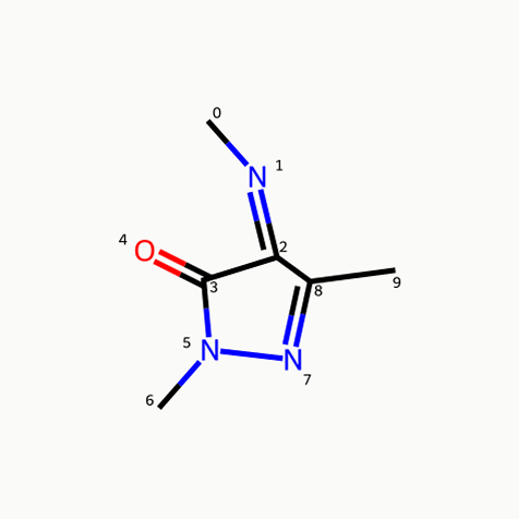 C/N=C1\C(=O)N(C)N=C1C